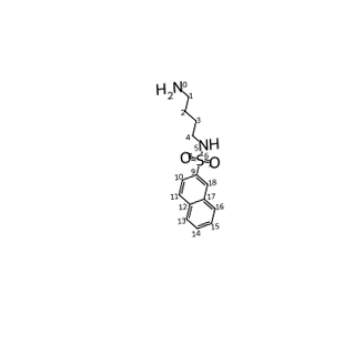 NCCCCNS(=O)(=O)c1ccc2ccccc2c1